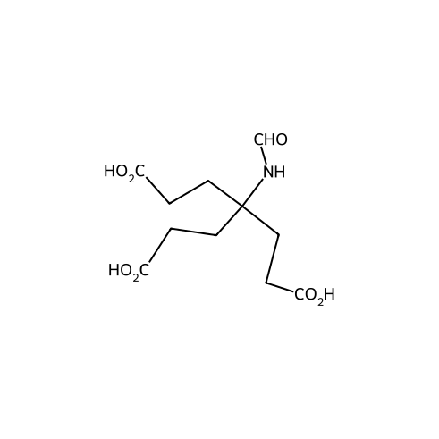 O=CNC(CCC(=O)O)(CCC(=O)O)CCC(=O)O